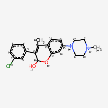 CC1=C(c2cccc(Cl)c2)C(O)Oc2cc(N3CCN(C)CC3)ccc21